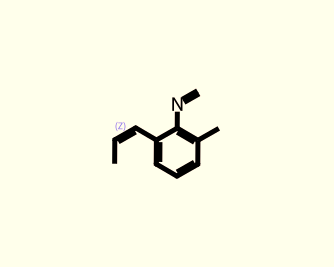 C=Nc1c(C)cccc1/C=C\C